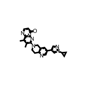 Cc1c(N2CCc3ncc(-c4cnn(C5CC5)c4)cc3C2)nn2c(=O)ccnc2c1C